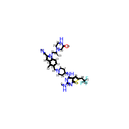 CNc1nc(NC2CCN(Cc3ccc4c(cc(C#N)n4C[C@H](C)N4CCNC(=O)C4)c3C)CC2)c2cc(CC(F)(F)F)sc2n1